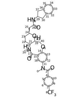 CN(C(=O)c1ccc(C(F)(F)F)cc1)c1ccc2c(c1)C(=O)N(C)[C@H]1CC[C@@H](CC(=O)NC3Cc4ccccc4C3)O[C@H]1CO2